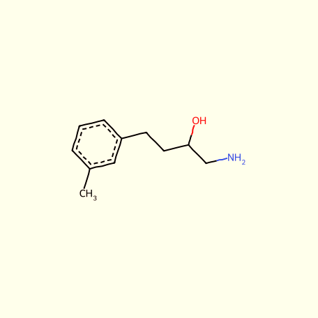 Cc1cccc(CCC(O)CN)c1